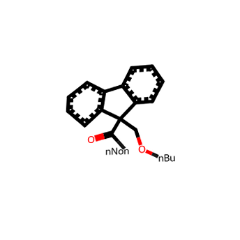 CCCCCCCCCC(=O)C1(COCCCC)c2ccccc2-c2ccccc21